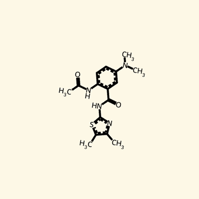 CC(=O)Nc1ccc(N(C)C)cc1C(=O)Nc1nc(C)c(C)s1